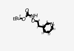 CC(C)(C)OC(=O)NOCCc1[c]nccc1